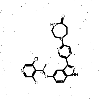 C[C@@H](Oc1ccc2[nH]nc(-c3ccc(N4CCNC(=O)CC4)nc3)c2c1)c1c(Cl)cncc1Cl